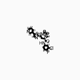 CN1[C@H](C(=O)Nc2ccc(F)c(Cl)c2)C[C@H](c2ncc(-c3cccnc3)s2)NS1(=O)=O